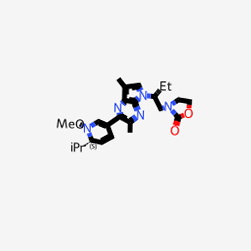 CCC(CN1CCOC1=O)n1cc(C)c2nc(C3=CN(OC)[C@@H](C(C)C)C=C3)c(C)nc21